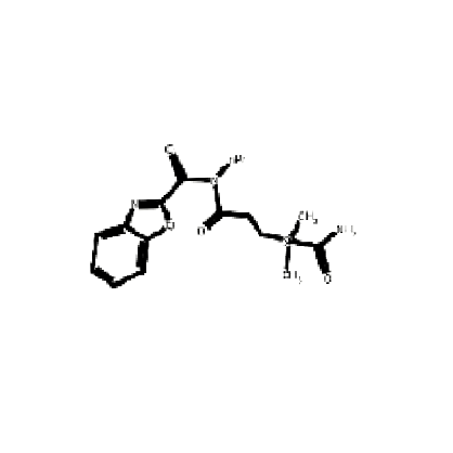 CCCN(C(=O)[CH]C[Si](C)(C)C(N)=O)C(=O)c1nc2ccccc2o1